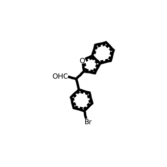 O=CC(c1ccc(Br)cc1)c1cc2ccccc2o1